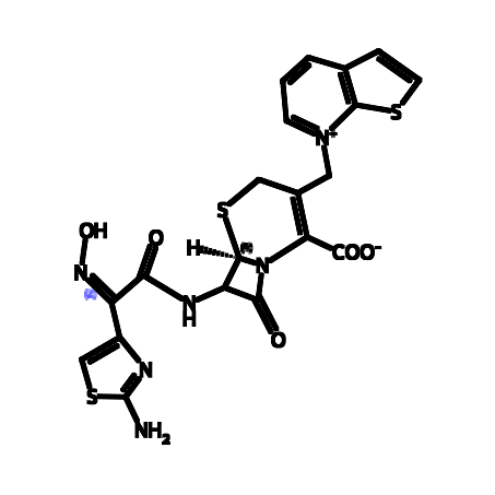 Nc1nc(/C(=N/O)C(=O)NC2C(=O)N3C(C(=O)[O-])=C(C[n+]4cccc5ccsc54)CS[C@H]23)cs1